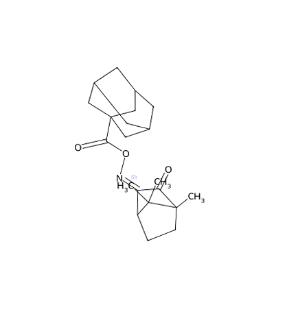 CC12CCC(/C(=N/OC(=O)C34CC5CC(CC(C5)C3)C4)C1=O)C2(C)C